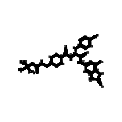 CC(C)(C)OC(=O)NCC1CCC(C(=O)N[C@@H](Cc2ccc(Br)cc2)C(=O)Nc2cc(F)c3oc(=O)[nH]c3c2)CC1